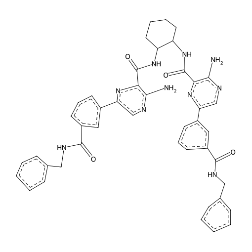 Nc1ncc(-c2cccc(C(=O)NCc3ccccc3)c2)nc1C(=O)NC1CCCCC1NC(=O)c1nc(-c2cccc(C(=O)NCc3ccccc3)c2)cnc1N